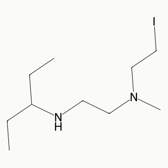 CCC(CC)NCCN(C)CCI